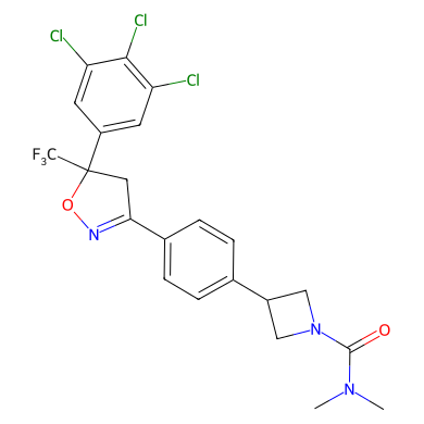 CN(C)C(=O)N1CC(c2ccc(C3=NOC(c4cc(Cl)c(Cl)c(Cl)c4)(C(F)(F)F)C3)cc2)C1